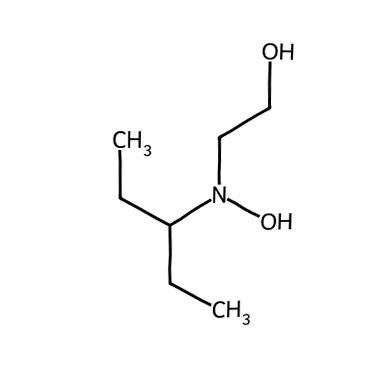 CCC(CC)N(O)CCO